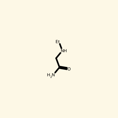 CCNCC(N)=O